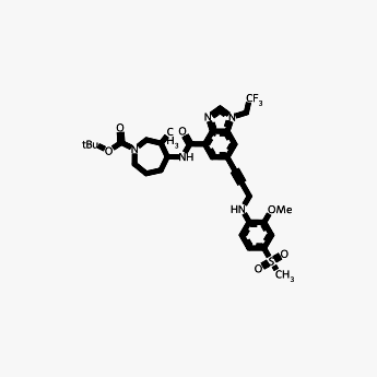 COc1cc(S(C)(=O)=O)ccc1NCC#Cc1cc(C(=O)NC2CCCN(C(=O)OC(C)(C)C)CC2C)c2ncn(CC(F)(F)F)c2c1